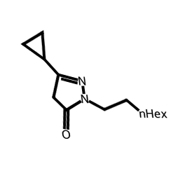 CCCCCCCCN1N=C(C2CC2)CC1=O